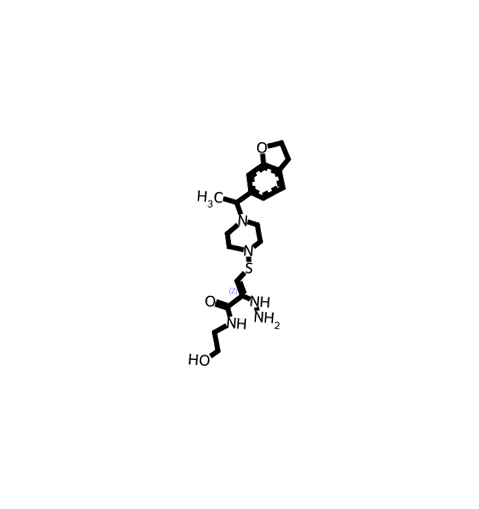 CC(c1ccc2c(c1)OCC2)N1CCN(S/C=C(\NN)C(=O)NCCO)CC1